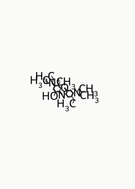 CCc1cc2nc3c(O)cc(=[N+](CC)CC)c(C)c-3oc2cc1N(CC)CC